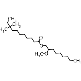 CCCCCCCC(COC(=O)CCCCCCCC(C)(C)CC)OC